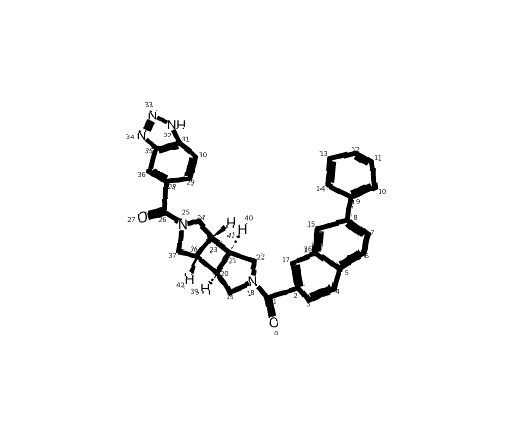 O=C(c1ccc2ccc(-c3ccccc3)cc2c1)N1C[C@@H]2[C@H](C1)[C@H]1CN(C(=O)c3ccc4[nH]nnc4c3)C[C@@H]21